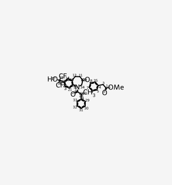 COC(=O)Cc1cccc(O[C@H]2CCc3cc(C(O)(C(F)(F)F)C(F)(F)F)ccc3N(C(=O)[C@@H](C)c3ccccc3)C2)c1